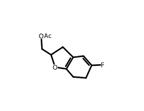 CC(=O)OCC1CC2=C(CCC(F)=C2)O1